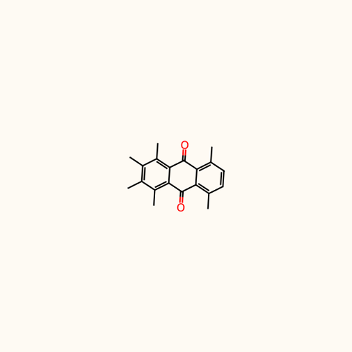 Cc1ccc(C)c2c1C(=O)c1c(C)c(C)c(C)c(C)c1C2=O